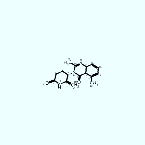 C=C1NC(=O)CC[C@@H]1N1C(=O)C2C(C)=CC=CC2N=C1C